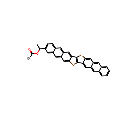 CCC(=O)OC(C)c1ccc2cc3cc4c(cc3cc2c1)sc1c2cc3cc5ccccc5cc3cc2sc41